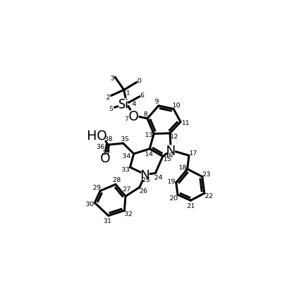 CC(C)(C)[Si](C)(C)Oc1cccc2c1c1c(n2Cc2ccccc2)CN(Cc2ccccc2)CC1CC(=O)O